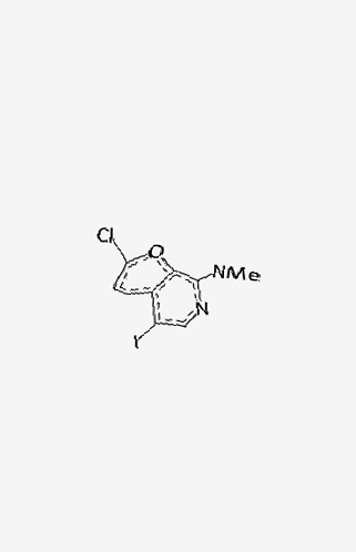 CNc1ncc(I)c2cc(Cl)oc12